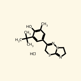 Cc1cc(C2=NN3CCN=C3SC2)cc(C(C)(C)C)c1O.Cl